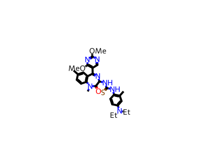 CCN(CC)c1ccc(NC(=S)NC2N=C(c3cnc(OC)nc3OC)c3cc(C)ccc3N(C)C2=O)c(C)c1